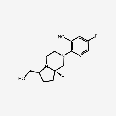 N#Cc1cc(F)cnc1N1CCN2[C@H](CO)CC[C@H]2C1